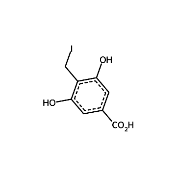 O=C(O)c1cc(O)c(CI)c(O)c1